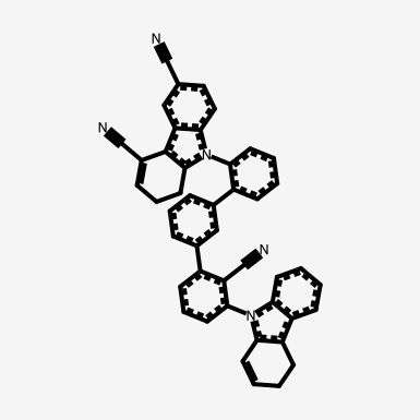 N#CC1=CCCc2c1c1cc(C#N)ccc1n2-c1ccccc1-c1cccc(-c2cccc(-n3c4c(c5ccccc53)CCC=C4)c2C#N)c1